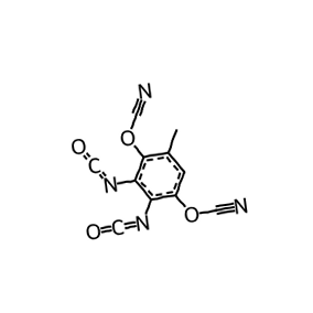 Cc1cc(OC#N)c(N=C=O)c(N=C=O)c1OC#N